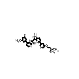 Cc1cc(F)cc(-c2ccnc3[nH]c(-c4n[nH]c5ccc(-c6cncc(OCCN(C)C)c6)nc45)nc23)c1